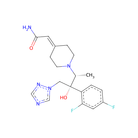 C[C@@H](N1CCC(=CC(N)=O)CC1)[C@](O)(Cn1cncn1)c1ccc(F)cc1F